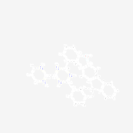 CC1(C)c2ccccc2-c2cc3oc4cccc(-c5nc(-c6ccccc6)nc(-c6ncccn6)n5)c4c3cc21